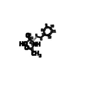 CC(=O)N[C@@H](CCc1ccccc1)C(=O)O